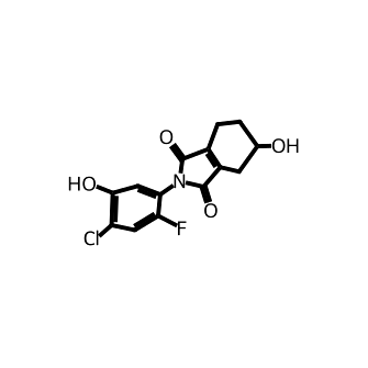 O=C1C2=C(CC(O)CC2)C(=O)N1c1cc(O)c(Cl)cc1F